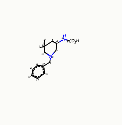 CC1(C)C[C@@H](NC(=O)O)CN(Cc2ccccc2)C1